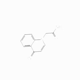 N=c1ccn(CC(N)=O)c2ccccc12